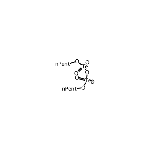 CCCCCO[Te](=O)(=O)O[Te](=O)(=O)OCCCCC